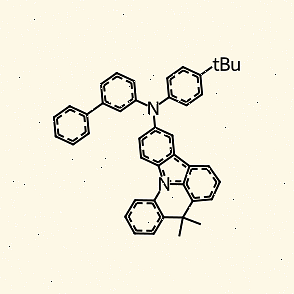 CC(C)(C)c1ccc(N(c2cccc(-c3ccccc3)c2)c2ccc3c(c2)c2cccc4c2n3-c2ccccc2C4(C)C)cc1